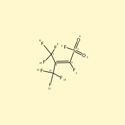 O=S(=O)(F)C(F)=C(C(F)(F)F)C(F)(F)F